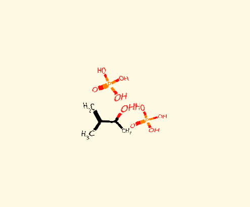 C=C(C)C(C)O.O=P(O)(O)O.O=P(O)(O)O